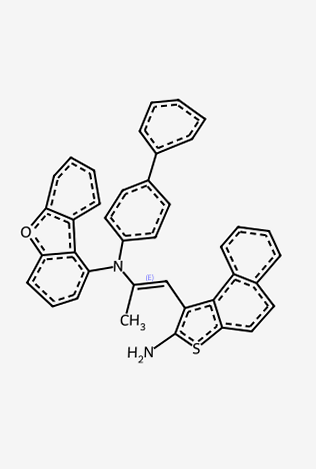 C/C(=C\c1c(N)sc2ccc3ccccc3c12)N(c1ccc(-c2ccccc2)cc1)c1cccc2oc3ccccc3c12